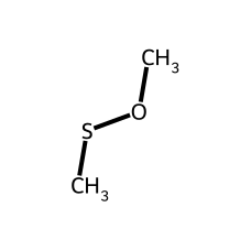 COSC